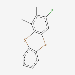 Cc1c(F)cc2c(c1C)Sc1ccccc1S2